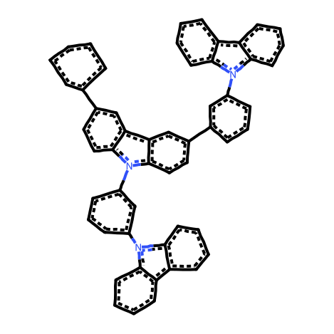 c1ccc(-c2ccc3c(c2)c2cc(-c4cccc(-n5c6ccccc6c6ccccc65)c4)ccc2n3-c2cccc(-n3c4ccccc4c4ccccc43)c2)cc1